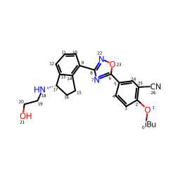 CCC(C)Oc1ccc(-c2nc(-c3cccc4c3CC[C@@H]4NCCO)no2)cc1C#N